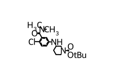 CN(C)C(=O)c1cc(N[C@H]2CCCN(C(=O)OC(C)(C)C)C2)ccc1Cl